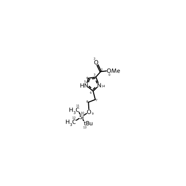 COC(=O)c1c[nH]c(CCO[Si](C)(C)C(C)(C)C)n1